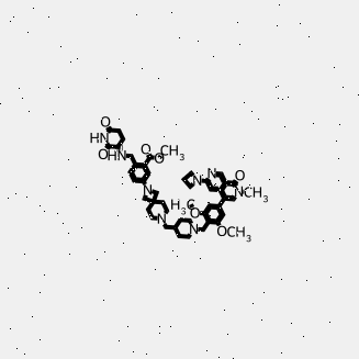 COC(=O)c1cc(N2CC3(CCN(CC4CCN(Cc5c(OC)cc(-c6cn(C)c(=O)c7cnc(N8CCC8)cc67)cc5OC)CC4)CC3)C2)ccc1CN[C@H]1CCC(=O)NC1=O